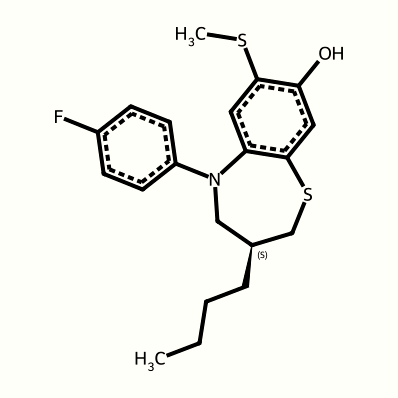 CCCC[C@@H]1CSc2cc(O)c(SC)cc2N(c2ccc(F)cc2)C1